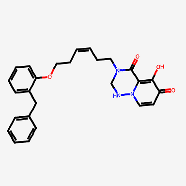 O=C1c2c(O)c(=O)ccn2NCN1CC/C=C\CCOc1ccccc1Cc1ccccc1